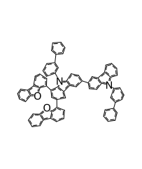 c1ccc(-c2cccc(-n3c4ccccc4c4cc(-c5ccc6c(c5)c5cc(-c7cccc8c7oc7ccccc78)cc(-c7cccc8c7oc7ccccc78)c5n6-c5cccc(-c6ccccc6)c5)ccc43)c2)cc1